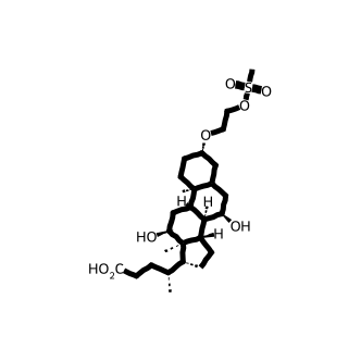 C[C@H](CCC(=O)O)[C@H]1CC[C@H]2[C@@H]3[C@H](O)CC4C[C@@H](OCCOS(C)(=O)=O)CC[C@]4(C)[C@H]3C[C@H](O)[C@]12C